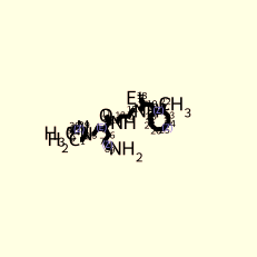 C=CN(C/C=C(\C/C=C\N)C(=O)NCCCNC(CC)C/C1=C(\C)C/C=C\CC=C1)/N=C\C